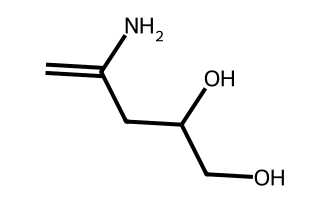 C=C(N)CC(O)CO